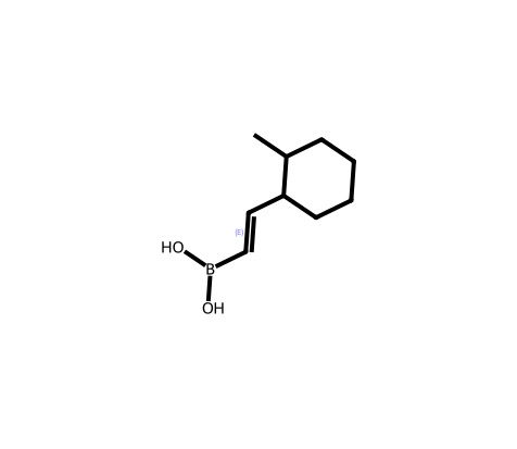 CC1CCCCC1/C=C/B(O)O